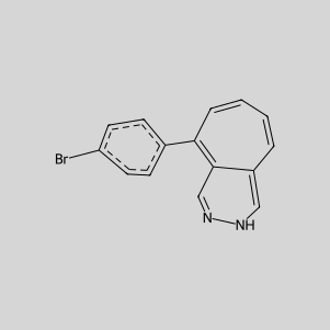 Brc1ccc(C2=C3C=NNC=C3C=CC=C2)cc1